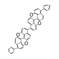 c1ccc(-c2ccc3oc4ccc5c(-c6ccc7oc8ccc9c(-c%10ccccc%10)ccc%10oc%11ccc6c7c%11-c8c%109)ccc6oc7ccc2c3c7-c4c65)cc1